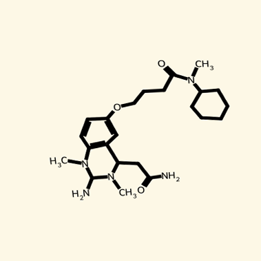 CN(C(=O)CCCOc1ccc2c(c1)C(CC(N)=O)N(C)C(N)N2C)C1CCCCC1